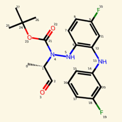 C[C@@H](C=O)N(Nc1ccc(F)cc1Nc1cccc(F)c1)C(=O)OC(C)(C)C